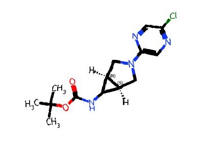 CC(C)(C)OC(=O)NC1[C@H]2CN(c3cnc(Cl)cn3)C[C@@H]12